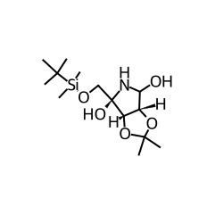 CC1(C)O[C@H]2C(O)N[C@@](O)(CO[Si](C)(C)C(C)(C)C)[C@H]2O1